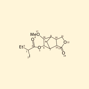 CCC(I)C(=O)OC1C2CC(C3COC(=O)C32)C1OC